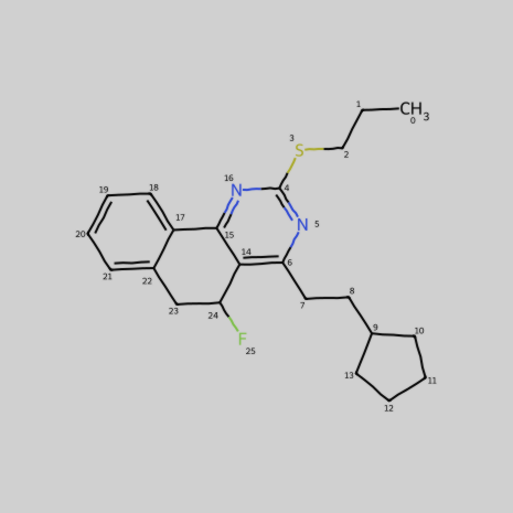 CCCSc1nc(CCC2CCCC2)c2c(n1)-c1ccccc1CC2F